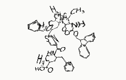 CCC(C)C(NC(=O)OCC1c2ccccc2-c2ccccc21)C(=O)N(C)C(CC(OCc1ccccc1)c1nc(C(=O)NC(Cc2ccccc2)CC(C)C(=O)O)cs1)C(C)C